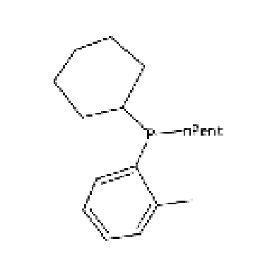 CCCCCP(c1ccccc1C)C1CCCCC1